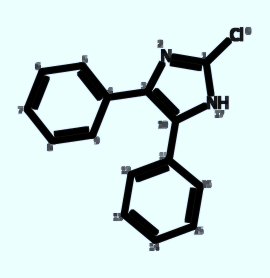 Clc1nc(-c2ccccc2)c(-c2ccccc2)[nH]1